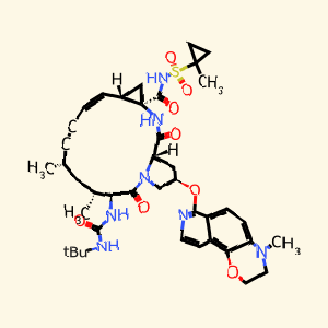 C[C@@H]1CC/C=C\[C@@H]2C[C@@]2(C(=O)NS(=O)(=O)C2(C)CC2)NC(=O)[C@@H]2C[C@@H](Oc3nccc4c5c(ccc34)N(C)CCO5)CN2C(=O)[C@@H](NC(=O)NC(C)(C)C)[C@H](C)C1